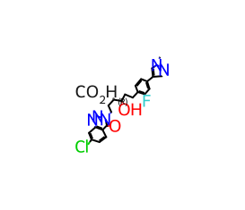 Cn1cc(-c2ccc(CC[C@@H](O)C(CCn3nnc4cc(Cl)ccc4c3=O)C(=O)O)c(F)c2)cn1